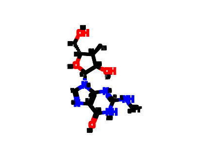 CC(C)Nc1nc2c(ncn2[C@@H]2O[C@H](CO)[C@@H](C)[C@H]2O)c(=O)[nH]1